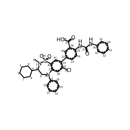 CN1C(C2CCCCC2)CN(c2ccccc2)c2cc(Cl)c(-c3ccc(NC(=O)Nc4ccccc4)c(C(=O)O)c3)cc2S1(=O)=O